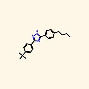 CCCCc1ccc(-c2nc(-c3ccc(C(C)(C)C)cc3)n[nH]2)cc1